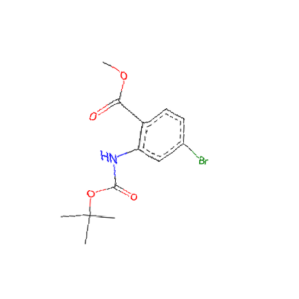 COC(=O)c1ccc(Br)cc1NC(=O)OC(C)(C)C